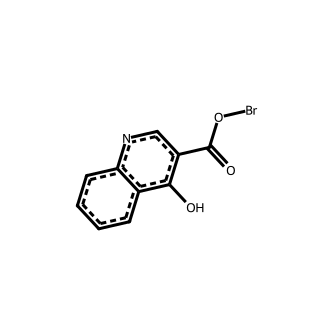 O=C(OBr)c1cnc2ccccc2c1O